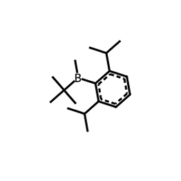 CB(c1c(C(C)C)cccc1C(C)C)C(C)(C)C